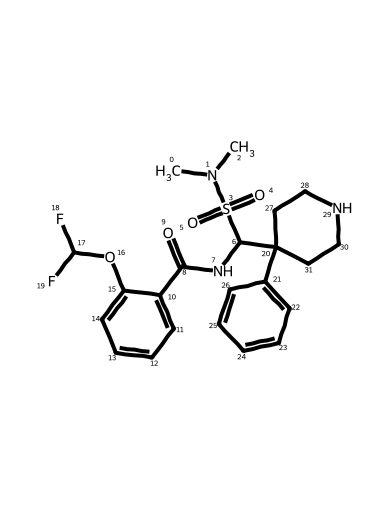 CN(C)S(=O)(=O)C(NC(=O)c1ccccc1OC(F)F)C1(c2ccccc2)CCNCC1